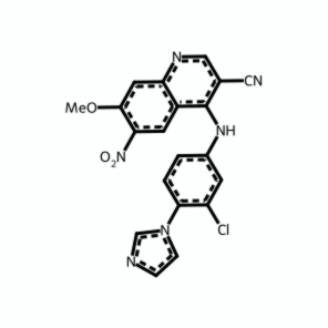 COc1cc2ncc(C#N)c(Nc3ccc(-n4ccnc4)c(Cl)c3)c2cc1[N+](=O)[O-]